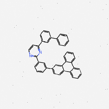 c1ccc(-c2cccc(-c3ccnc(-c4cccc(-c5ccc6c7ccccc7c7ccccc7c6c5)c4)n3)c2)cc1